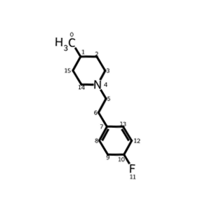 CC1CCN(CCC2=CCC(F)C=C2)CC1